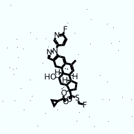 CC1=C[C@@H]2[C@H]([C@@H](O)C[C@@]3(C)[C@H]2CC[C@]3(OC(=O)C2CC2)C(=O)SCF)[C@@]2(C)Cc3cnn(-c4ccc(F)nc4)c3C=C12